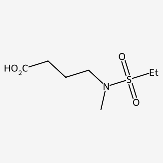 CCS(=O)(=O)N(C)CCCC(=O)O